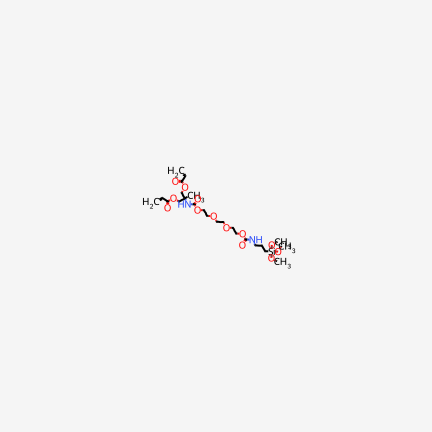 C=CC(=O)OCC(C)(COC(=O)C=C)NC(=O)OCCOCCOCCOC(=O)NCCC[Si](OC)(OC)OC